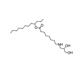 CCCCCCCCC(CCC)OC(=O)CCCCCCCNCC(O)CO